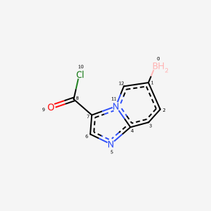 Bc1ccc2ncc(C(=O)Cl)n2c1